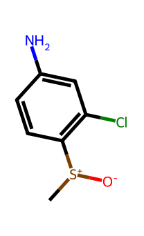 C[S+]([O-])c1ccc(N)cc1Cl